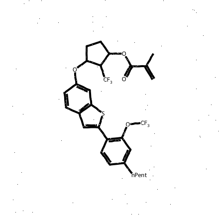 C=C(C)C(=O)OC1CCC(Oc2ccc3cc(-c4ccc(CCCCC)cc4OC(F)(F)F)sc3c2)C1C(F)(F)F